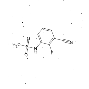 CS(=O)(=O)Nc1cccc(C#N)c1F